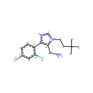 CC(C)(C)CCn1cnc(-c2ccc(Cl)cc2Cl)c1CN